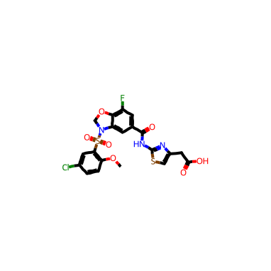 COc1ccc(Cl)cc1S(=O)(=O)N1COc2c(F)cc(C(=O)Nc3nc(CC(=O)O)cs3)cc21